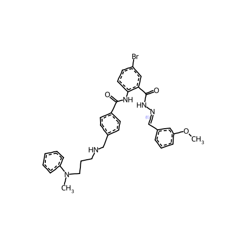 COc1cccc(/C=N/NC(=O)c2cc(Br)ccc2NC(=O)c2ccc(CNCCCN(C)c3ccccc3)cc2)c1